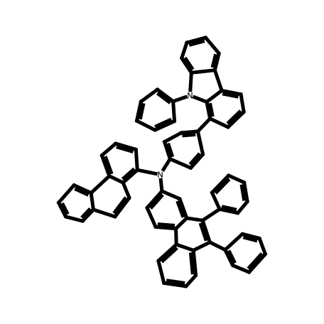 c1ccc(-c2c(-c3ccccc3)c3cc(N(c4ccc(-c5cccc6c7ccccc7n(-c7ccccc7)c56)cc4)c4cccc5c4ccc4ccccc45)ccc3c3ccccc23)cc1